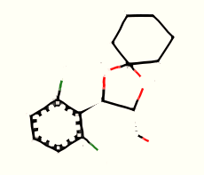 OC[C@H]1OC2(CCCCC2)O[C@@H]1c1c(Cl)cccc1Cl